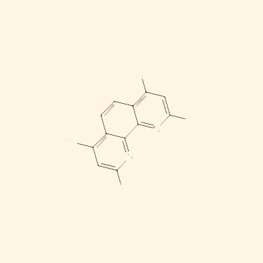 CCc1cc(CC)c2ccc3c(CC)cc(CC)nc3c2n1